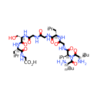 CC[C@H](C)[C@H](N)C(=O)N(C(=O)[C@@H](N)[C@@H](C)CC)[C@H](C(=O)NCC(=O)N[C@@H](CC(C)C)C(=O)NCC(=O)NCC(=O)N[C@@H](CO)C(=O)N[C@@H](CC(C)C)C(=O)NCC(=O)O)C(C)C